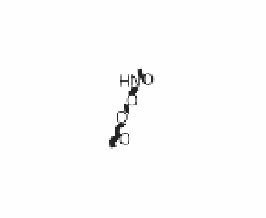 CCC(=O)CCOCCOCCNC(C)=O